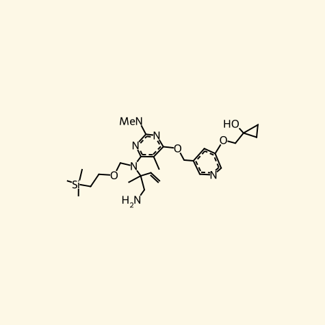 C=CC(C)(CN)N(COCC[Si](C)(C)C)c1nc(NC)nc(OCc2cncc(OCC3(O)CC3)c2)c1C